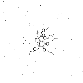 CCCCOC[C@H]1O[C@@H](C(F)(F)C[C@@H](C)C(=O)OCC)[C@H](OCCCC)[C@@H](OCCCC)[C@H]1OCCCC